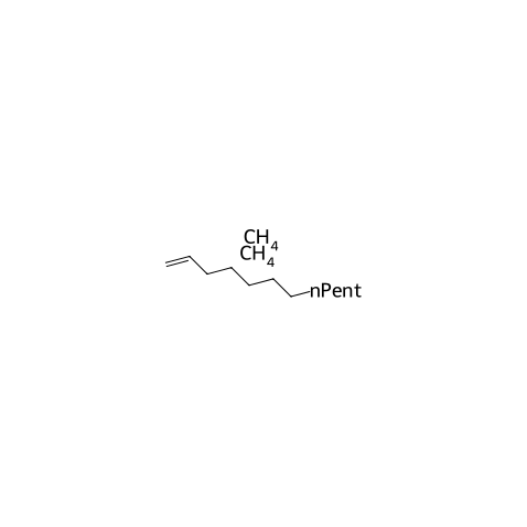 C.C.C=CCCCCCCCCCC